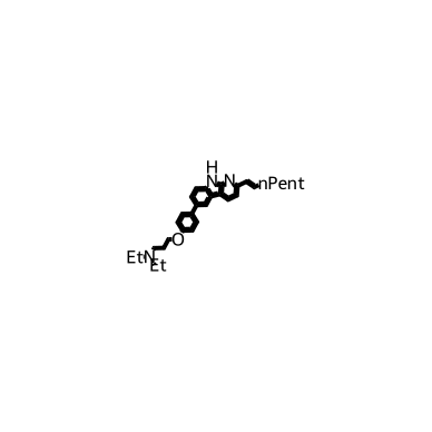 CCCCCC=Cc1ccc2c(n1)[nH]c1ccc(-c3ccc(OCCCN(CC)CC)cc3)cc12